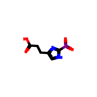 O=C(O)CCc1c[nH]c(P(=O)=O)n1